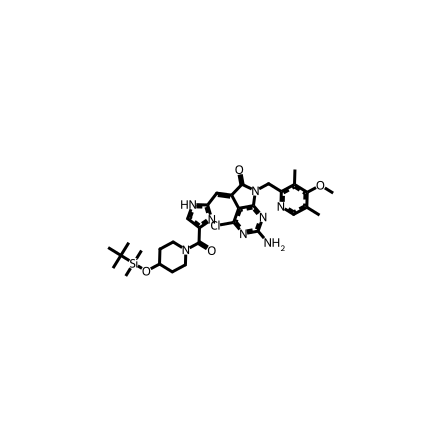 COc1c(C)cnc(CN2C(=O)/C(=C/c3nc(C(=O)N4CCC(O[Si](C)(C)C(C)(C)C)CC4)c[nH]3)c3c(Cl)nc(N)nc32)c1C